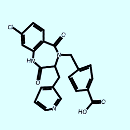 O=C(O)c1ccc(CN2C(=O)c3ccc(Cl)cc3NC(=O)C2Cc2cccnc2)cc1